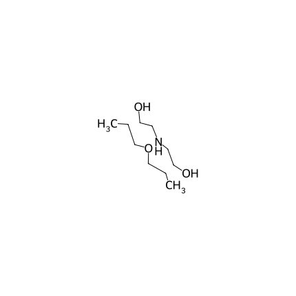 CCCOCCC.OCCNCCO